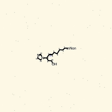 CCCCCCCCCCCCCC/C=C/C(CCO)N1C=NCC1